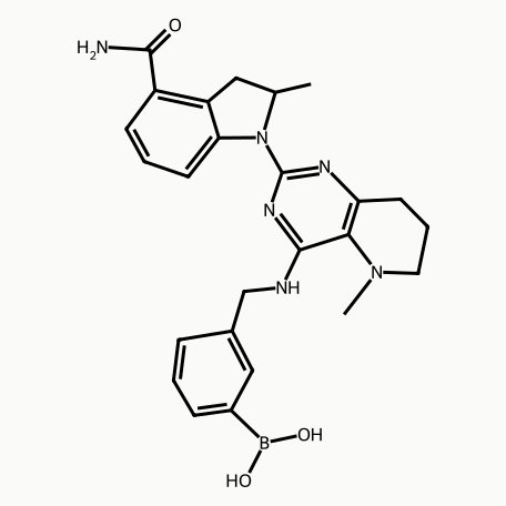 CC1Cc2c(C(N)=O)cccc2N1c1nc2c(c(NCc3cccc(B(O)O)c3)n1)N(C)CCC2